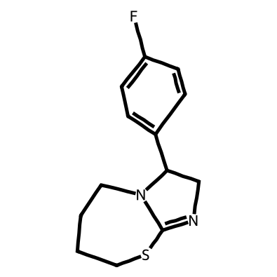 Fc1ccc(C2CN=C3SCCCCN32)cc1